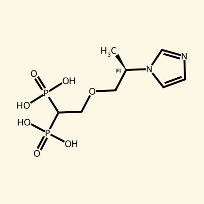 C[C@H](COCC(P(=O)(O)O)P(=O)(O)O)n1ccnc1